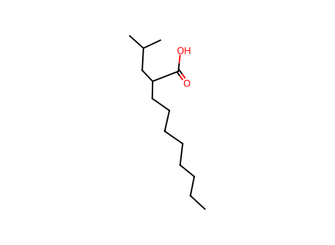 CCCCCCCCC(CC(C)C)C(=O)O